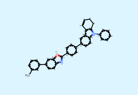 Cc1cccc(-c2ccc3nc(-c4ccc(-c5ccc6c(c5)c5c(n6-c6ccccc6)CCC=C5)cc4)oc3c2)c1